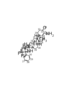 C[C@]12CC[C@H]3[C@@H](C=CC4=C(N)C(=O)CC[C@@]43C)[C@@H]1CC[C@@H]2C(=O)NC(c1ccccc1)(C(F)(F)F)C(F)(F)F